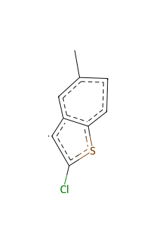 Cc1ccc2sc(Cl)[c]c2c1